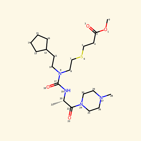 COC(=O)CCSCCN(CCC1CCCC1)C(=O)N[C@@H](C)C(=O)N1CCN(C)CC1